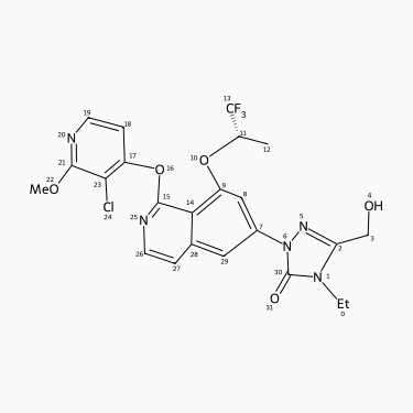 CCn1c(CO)nn(-c2cc(O[C@@H](C)C(F)(F)F)c3c(Oc4ccnc(OC)c4Cl)nccc3c2)c1=O